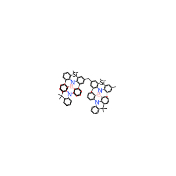 Cc1cc(C)c2c(c1)[Si](C)(C)c1cc(Cc3cc(-c4ccccc4)c4c(c3)[Si](C)(C)c3cccc(-c5ccccc5)c3N4B3c4ccccc4N4c5ccccc5C(C)(C)c5cccc3c54)cc(C)c1N2B1c2ccccc2N2c3ccccc3C(C)(C)c3cccc1c32